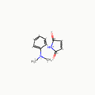 CN(C)c1ccccc1.O=C1C=CC(=O)N1